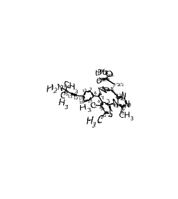 Cc1sc2c(c1C)C(c1ccc(C#CC(C)(C)N)cc1)=N[C@H](CC(=O)OC(C)(C)C)c1nnc(C)n1-2